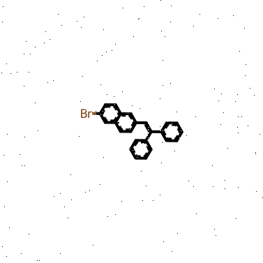 Brc1ccc2cc(C=C(c3ccccc3)c3ccccc3)ccc2c1